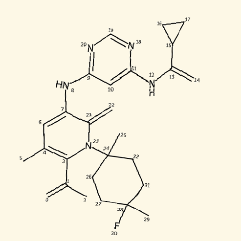 C=C(C)C1=C(C)C=C(Nc2cc(NC(=C)C3CC3)ncn2)C(=C)N1C1(C)CCC(C)(F)CC1